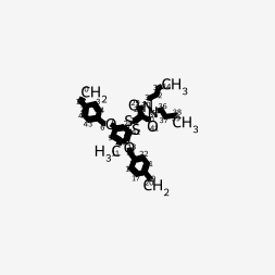 C=Cc1ccc(COc2cc(C)c(OCc3ccc(C=C)cc3)c3c2SC(=C2C(=O)N(CCCC)N(CCCC)C2=O)S3)cc1